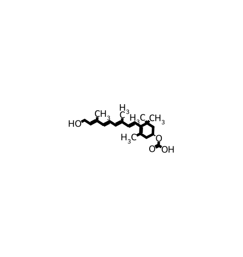 CC1=C(/C=C/C(C)=C/C=C/C(C)=C/CO)C(C)(C)C[C@H](OC(=O)O)C1